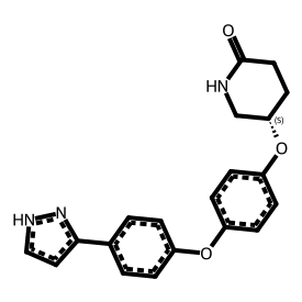 O=C1CC[C@H](Oc2ccc(Oc3ccc(-c4cc[nH]n4)cc3)cc2)CN1